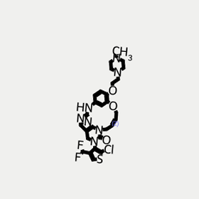 CN1CCN(CCOc2ccc3cc2OC/C=C\CN2C(=O)N(c4c(C(F)F)csc4Cl)Cc4cnc(nc42)N3)CC1